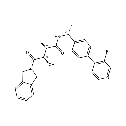 C[C@@H](NC(=O)[C@H](O)[C@@H](O)C(=O)N1Cc2ccccc2C1)c1ccc(-c2ccncc2F)cc1